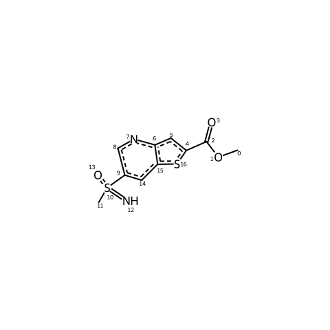 COC(=O)c1cc2ncc(S(C)(=N)=O)cc2s1